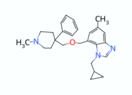 Cc1cc(COCC2(c3ccccc3)CCN(C)CC2)c2c(c1)ncn2CC1CC1